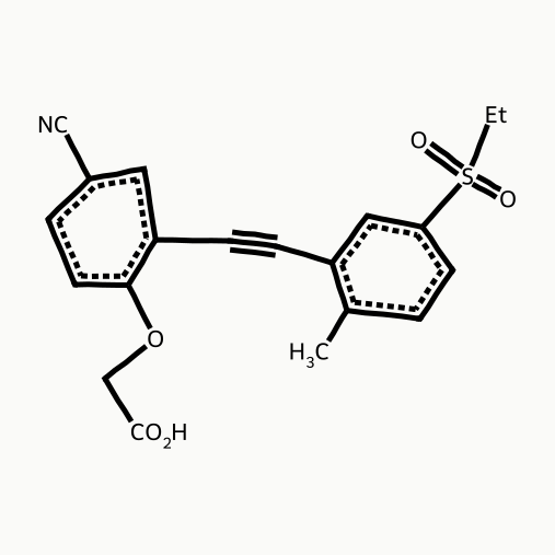 CCS(=O)(=O)c1ccc(C)c(C#Cc2cc(C#N)ccc2OCC(=O)O)c1